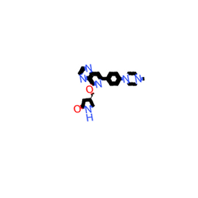 CN1CCN(c2ccc(-c3cc4nccnc4c(OC[C@@H]4CNC(=O)C4)n3)cc2)CC1